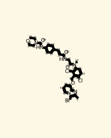 Cc1nc2c(OCc3c(Cl)ccc(N(C)C(=O)CNC(=O)C=Cc4ccc(NC(=O)N5CCOCC5)cc4)c3Cl)cccn2c1Br